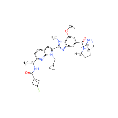 COc1cc(C(=O)N2[C@H]3CC[C@@H]2[C@H](N)C3)cc2nc(-c3cc4ccc([C@@H](C)NC(=O)C56CC(F)(C5)C6)nc4n3CC3CC3)n(C)c12